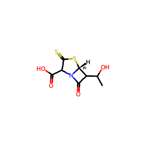 CC(O)C1C(=O)N2C(C(=O)O)C(=S)S[C@H]12